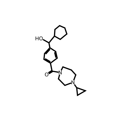 O=C(c1ccc(C(O)C2CCCCC2)cc1)N1CCCN(C2CC2)CC1